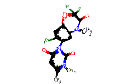 CN1C(=O)C(F)(F)Oc2cc(F)c(-n3c(=O)cc(C(F)(F)F)n(C)c3=O)cc21